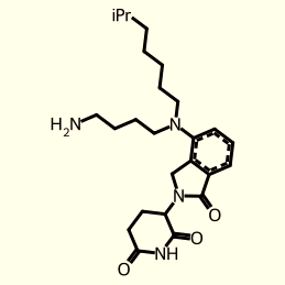 CC(C)CCCCCN(CCCCN)c1cccc2c1CN(C1CCC(=O)NC1=O)C2=O